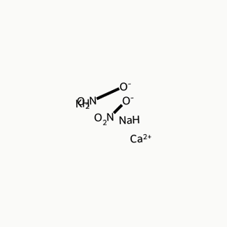 O=[N+]([O-])[O-].O=[N+]([O-])[O-].[Ca+2].[KH].[NaH]